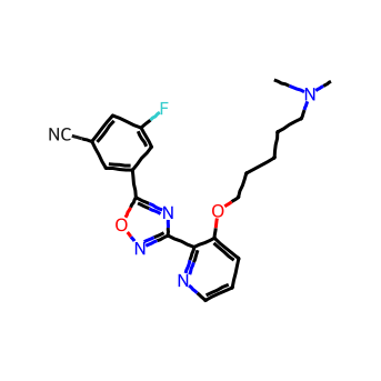 CN(C)CCCCCOc1cccnc1-c1noc(-c2cc(F)cc(C#N)c2)n1